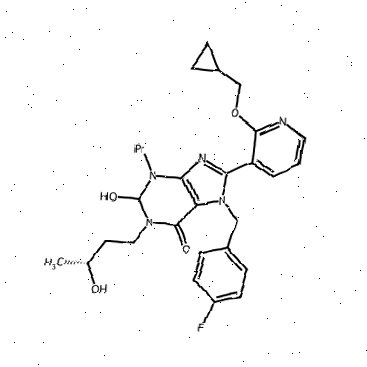 CC(C)N1c2nc(-c3cccnc3OCC3CC3)n(Cc3ccc(F)cc3)c2C(=O)N(CC[C@@H](C)O)C1O